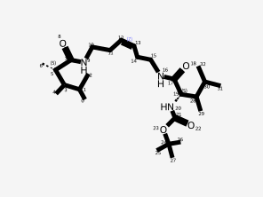 CC(C)C(C)[C@H](C)C(=O)NCC/C=C\CCNC(=O)[C@@H](NC(=O)OC(C)(C)C)C(C)C(C)C